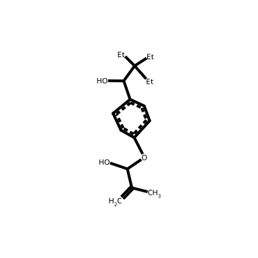 C=C(C)C(O)Oc1ccc(C(O)C(CC)(CC)CC)cc1